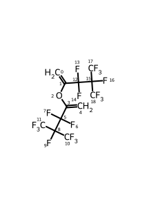 C=C(OC(=C)C(F)(F)C(F)(C(F)(F)F)C(F)(F)F)C(F)(F)C(F)(C(F)(F)F)C(F)(F)F